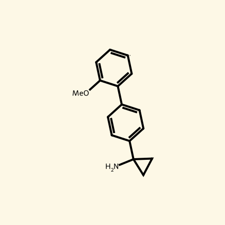 COc1cc[c]cc1-c1ccc(C2(N)CC2)cc1